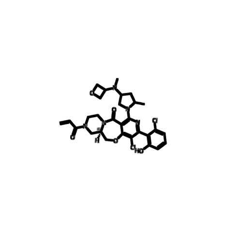 C=CC(=O)N1CCN2C(=O)c3c(N4CC(N(C)C5COC5)CC4C)nc(-c4c(O)cccc4Cl)c(Cl)c3OC[C@H]2C1